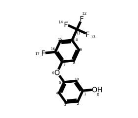 Oc1cccc(Oc2ccc(C(F)(F)F)cc2F)c1